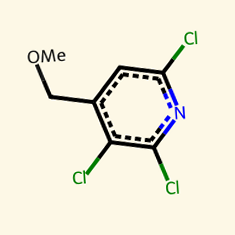 COCc1cc(Cl)nc(Cl)c1Cl